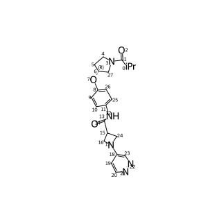 CC(C)C(=O)N1CC[C@@H](Oc2ccc(NC(=O)C3CN(c4ccnnc4)C3)cc2)C1